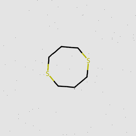 [CH]1CSCCCSC1